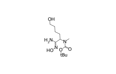 CN(C(=O)OC(C)(C)C)C(CCCCO)C(N)=NO